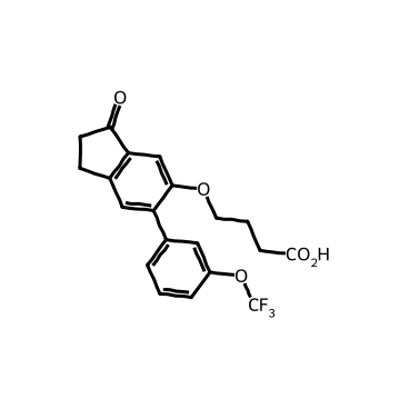 O=C(O)CCCOc1cc2c(cc1-c1cccc(OC(F)(F)F)c1)CCC2=O